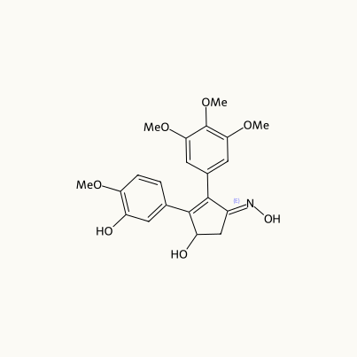 COc1ccc(C2=C(c3cc(OC)c(OC)c(OC)c3)/C(=N/O)CC2O)cc1O